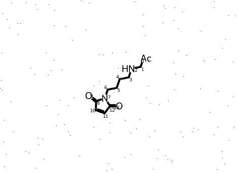 CC(=O)CNCCCCN1C(=O)C=CC1=O